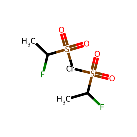 CC(F)[S](=O)(=O)[Cr][S](=O)(=O)C(C)F